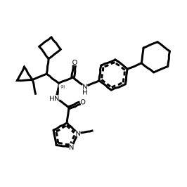 Cn1nccc1C(=O)N[C@H](C(=O)Nc1ccc(C2CCCCC2)cc1)C(C1CCC1)C1(C)CC1